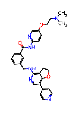 CN(C)CCOc1ccc(NC(=O)c2cccc(CNc3ncc(-c4ccncc4)c4c3CCO4)c2)nc1